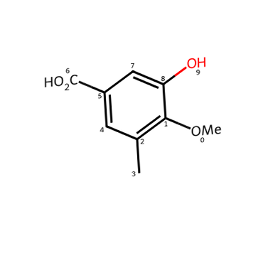 COc1c(C)cc(C(=O)O)cc1O